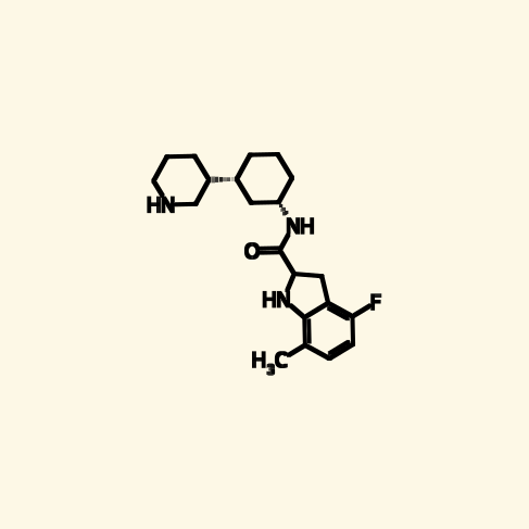 Cc1ccc(F)c2c1NC(C(=O)N[C@H]1CCC[C@@H](C3CCCNC3)C1)C2